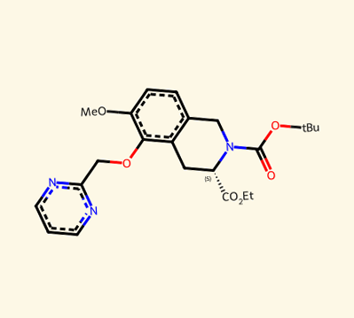 CCOC(=O)[C@@H]1Cc2c(ccc(OC)c2OCc2ncccn2)CN1C(=O)OC(C)(C)C